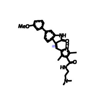 COc1cccc(-c2ccc3c(c2)NC(=O)/C3=C\c2[nH]c(C)c(C(=O)NCCN(C)C)c2C)c1